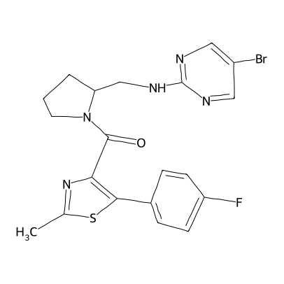 Cc1nc(C(=O)N2CCCC2CNc2ncc(Br)cn2)c(-c2ccc(F)cc2)s1